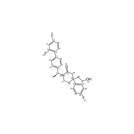 C[C@@H](c1ccc(-c2ccc(F)cc2F)cc1)N1CCC(CCO)(c2ccc(F)cc2)CC1=O